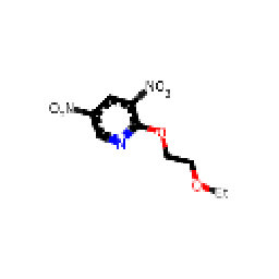 CCOCCOc1ncc([N+](=O)[O-])cc1[N+](=O)[O-]